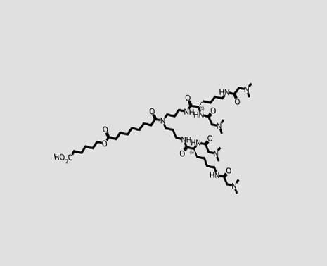 CN(C)CC(=O)NCCCC[C@H](NC(=O)CN(C)C)C(=O)NCCCN(CCCNC(=O)[C@H](CCCCNC(=O)CN(C)C)NC(=O)CN(C)C)C(=O)CCCCCCCC(=O)OCCCCCC(=O)O